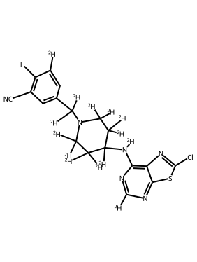 [2H]c1nc(N([2H])C2([2H])C([2H])([2H])C([2H])([2H])N(C([2H])([2H])c3cc([2H])c(F)c(C#N)c3)C([2H])([2H])C2([2H])[2H])c2nc(Cl)sc2n1